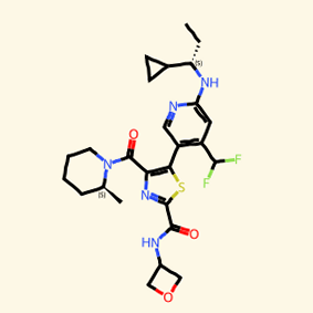 CC[C@H](Nc1cc(C(F)F)c(-c2sc(C(=O)NC3COC3)nc2C(=O)N2CCCC[C@@H]2C)cn1)C1CC1